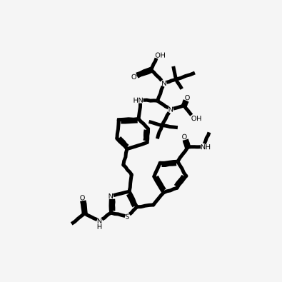 CNC(=O)c1ccc(Cc2sc(NC(C)=O)nc2CCc2ccc(NC(N(C(=O)O)C(C)(C)C)N(C(=O)O)C(C)(C)C)cc2)cc1